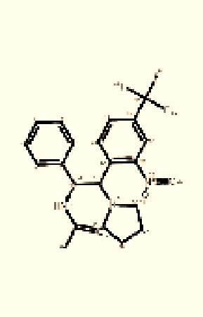 CC(=O)N[C@@H](c1ccccc1)C(c1ccc(C(F)(F)F)cc1[N+](=O)[O-])N1CCCC1